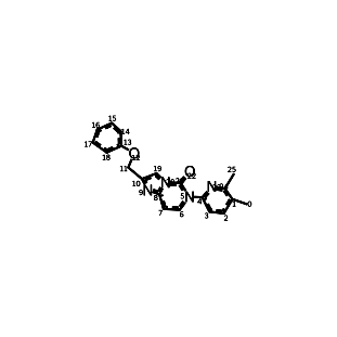 Cc1ccc(-n2ccc3nc(COc4ccccc4)cn3c2=O)nc1C